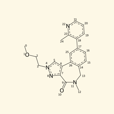 COCCn1cc2c(n1)C(=O)N(C)Cc1ccc(-c3cccnc3C)cc1-2